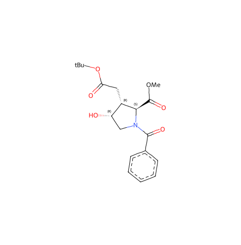 COC(=O)[C@@H]1[C@@H](CC(=O)OC(C)(C)C)[C@@H](O)CN1C(=O)c1ccccc1